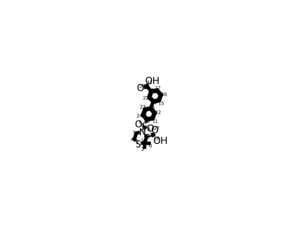 CC1(C)SCCN(S(=O)(=O)c2ccc(-c3cccc(C(=O)O)c3)cc2)[C@H]1C(=O)O